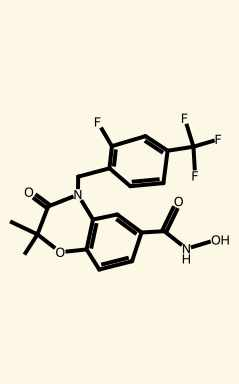 CC1(C)Oc2ccc(C(=O)NO)cc2N(Cc2ccc(C(F)(F)F)cc2F)C1=O